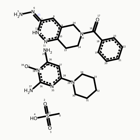 CS(=O)(=O)O.N/N=c1/cc2c(n[nH]1)CCN(C(=O)c1ccccc1)C2.Nc1cc(N2CCCCC2)nc(N)[n+]1[O-]